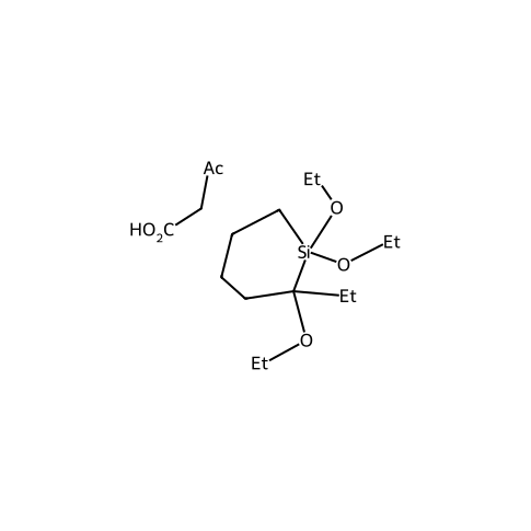 CC(=O)CC(=O)O.CCOC1(CC)CCCC[Si]1(OCC)OCC